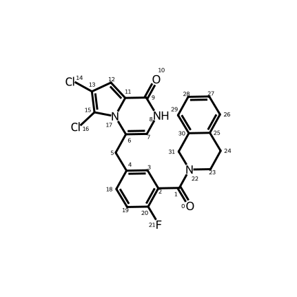 O=C(c1cc(Cc2c[nH]c(=O)c3cc(Cl)c(Cl)n23)ccc1F)N1CCc2ccccc2C1